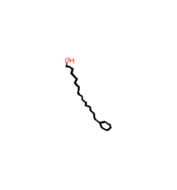 OCCCCCCCCCCCCCCCC1CCCCC1